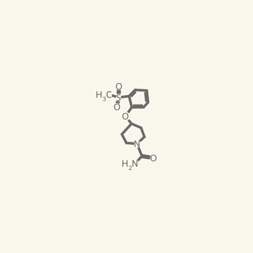 CS(=O)(=O)c1ccccc1OC1CCN(C(N)=O)CC1